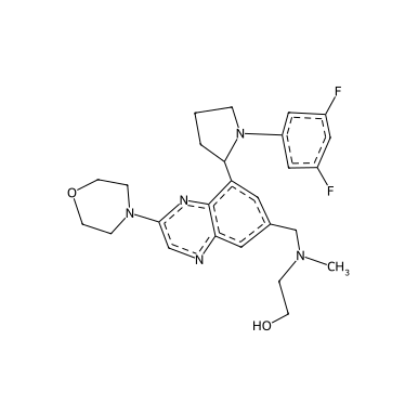 CN(CCO)Cc1cc(C2CCCN2c2cc(F)cc(F)c2)c2nc(N3CCOCC3)cnc2c1